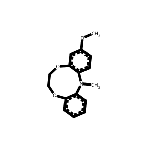 COc1ccc2c(c1)OCCOc1ccccc1N2C